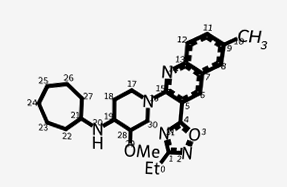 CCc1noc(-c2cc3cc(C)ccc3nc2N2CCC(NC3CCCCCC3)C(OC)C2)n1